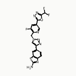 Nc1nc2ccc(-c3cn(Cc4ncc(-c5nnc(C(F)F)o5)cc4F)nn3)cc2s1